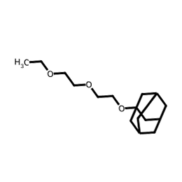 CCOCCOCCOC12CC3CC(CC(C3)C1)C2